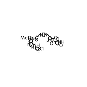 COc1cc2ncnc(Nc3ccc(F)c(Cl)c3)c2cc1NC(=O)/C=C/CN1CCN(Cc2cc(F)c3c(c2)C(=O)N(C2CCC(=O)NC2=O)C3=O)CC1